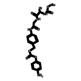 CC(C)C(NC(=O)OC(C)(C)C)C(=O)NCC(=O)Nc1ccc(COC(=O)Oc2ccc([N+](=O)[O-])cc2)cc1